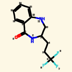 O=C1NC(CCC(F)(F)F)CNc2ccccc21